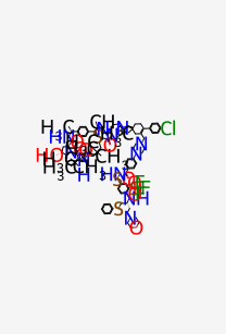 Cc1ncsc1-c1ccc([C@H](C)NC(=O)[C@@H]2C[C@@H](O)CN2C(=O)[C@@H](NC(=O)CC(C)(C)CC(C)CC(=O)N2CCCN(CC3(C)CCC(c4ccc(Cl)cc4)=C(CN4CCN(c5ccc(C(=O)NSc6ccc(N[C@H](CCN7CCOCC7)CSc7ccccc7)c(S(=O)(=O)C(F)(F)F)c6)cc5)CC4)C3)CC2)C(C)(C)C)cc1